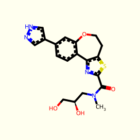 CN(C[C@@H](O)CO)C(=O)c1nc2c(s1)CCOc1cc(-c3cn[nH]c3)ccc1-2